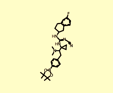 CN(C)C(Cc1ccc(B2OC(C)(C)C(C)(C)O2)cc1)C1(NC(=NC#N)NC2CCc3cc(F)ccc3C2)CC1